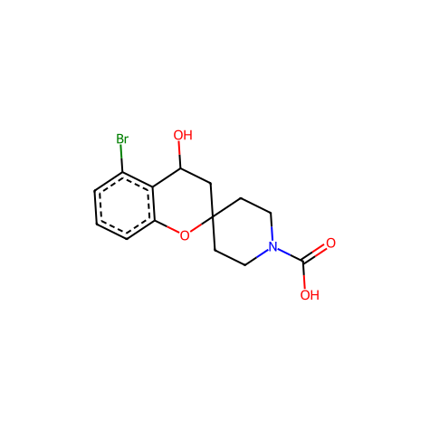 O=C(O)N1CCC2(CC1)CC(O)c1c(Br)cccc1O2